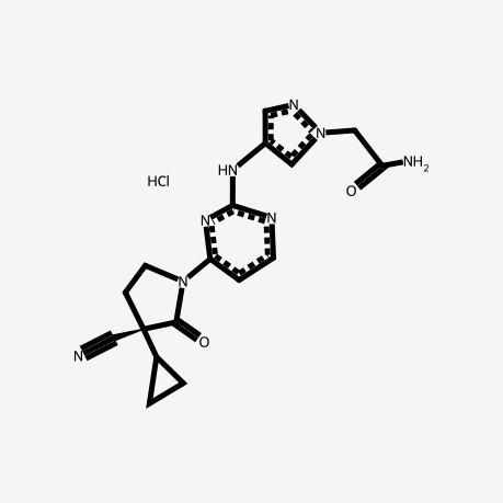 Cl.N#C[C@@]1(C2CC2)CCN(c2ccnc(Nc3cnn(CC(N)=O)c3)n2)C1=O